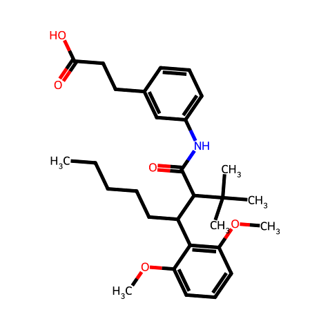 CCCCCC(c1c(OC)cccc1OC)C(C(=O)Nc1cccc(CCC(=O)O)c1)C(C)(C)C